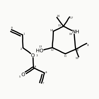 C=CCOC(=O)C=C.CC1(C)CC(O)CC(C)(C)N1